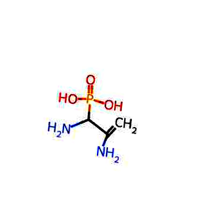 C=C(N)C(N)P(=O)(O)O